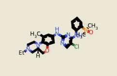 CCN1CCN2c3c(C)cc(Nc4ncc(Cl)c(Nc5ccccc5P(C)(C)=O)n4)cc3OC[C@@H]2C1